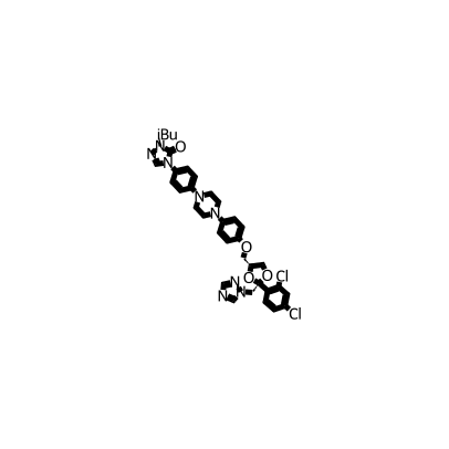 CC[C@H](C)n1ncn(-c2ccc(N3CCN(c4ccc(OC[C@@H]5CO[C@@](Cn6cncn6)(c6ccc(Cl)cc6Cl)O5)cc4)CC3)cc2)c1=O